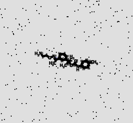 C/C(=N\OCCN)c1cccc(C(C)(C)OC(=O)Nc2ccc(C)cc2)c1